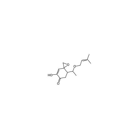 CC(C)=CCOC(C)C1CC(=O)C(O)=CC12CO2